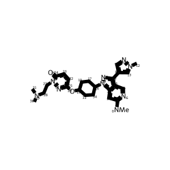 CNc1cc2c(cn1)c(-c1cnn(C)c1)nn2C1CCC(Oc2ccc(=O)n(CCN(C)C)n2)CC1